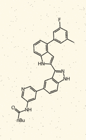 CCCCC(=O)Nc1cncc(-c2ccc3[nH]nc(-c4cc5c(-c6cc(C)cc(F)c6)cccc5[nH]4)c3c2)c1